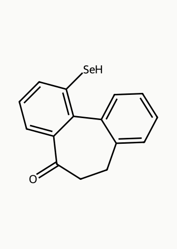 O=C1CCc2ccccc2-c2c([SeH])cccc21